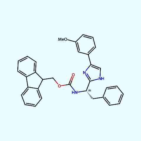 COc1cccc(-c2c[nH]c([C@H](Cc3ccccc3)NC(=O)OCC3c4ccccc4-c4ccccc43)n2)c1